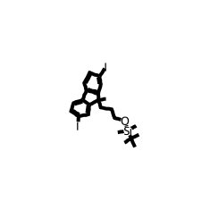 CC1(CCCO[Si](C)(C)C(C)(C)C)c2cc(I)ccc2-c2ccc(I)cc21